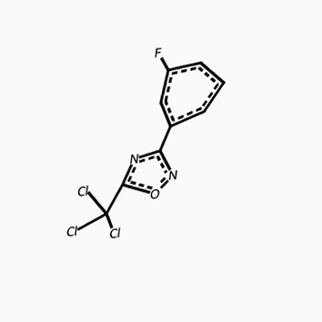 Fc1cccc(-c2noc(C(Cl)(Cl)Cl)n2)c1